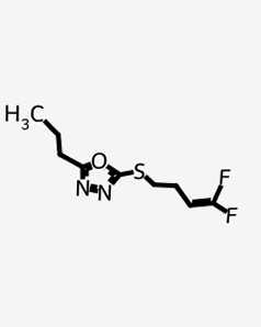 CCCc1nnc(SCCC=C(F)F)o1